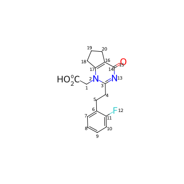 O=C(O)Cn1c(CCc2ccccc2F)nc(=O)c2c1CCC2